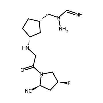 N#C[C@@H]1C[C@H](F)CN1C(=O)CN[C@@H]1CC[C@H](CN(N)C=N)C1